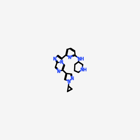 c1cc(N[C@@H]2CCCNC2)nc(-c2cnc3cnc(-c4cnn(C5CC5)c4)cn23)c1